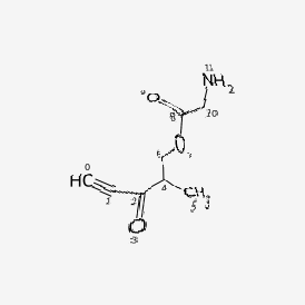 C#CC(=O)C(C)COC(=O)CN